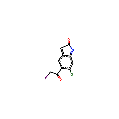 O=C1C=c2cc(C(=O)CI)c(Cl)cc2=N1